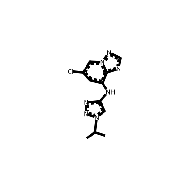 CC(C)n1cc(Nc2cc(Cl)cn3ncnc23)nn1